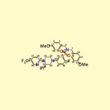 COc1ccc(CN(Cc2ccc(OC)cc2)S(=O)(=O)c2cc(N3CCN(c4ccc(C(F)(F)F)cn4)[C@H](C(C)C)C3)ccc2F)cc1